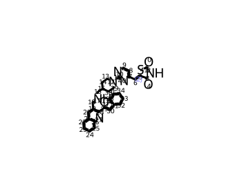 O=C1NC(=O)/C(=C/c2ccnc(N3CCC(CNCc4cc5ccccc5nc4-c4cc5ccccc5o4)CC3)n2)S1